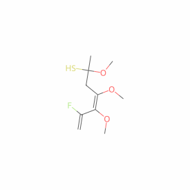 C=C(F)/C(OC)=C(\CC(C)(S)OC)OC